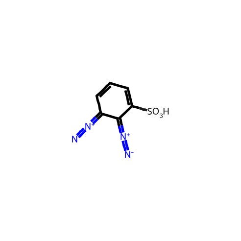 [N-]=[N+]=C1C=CC=C(S(=O)(=O)O)C1=[N+]=[N-]